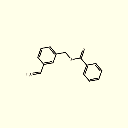 C=Cc1cccc(CSC(=S)c2ccccc2)c1